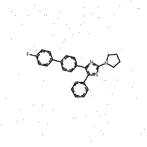 Fc1ccc(-c2ccc(-c3nc(N4CCCC4)sc3-c3ccccc3)cc2)cc1